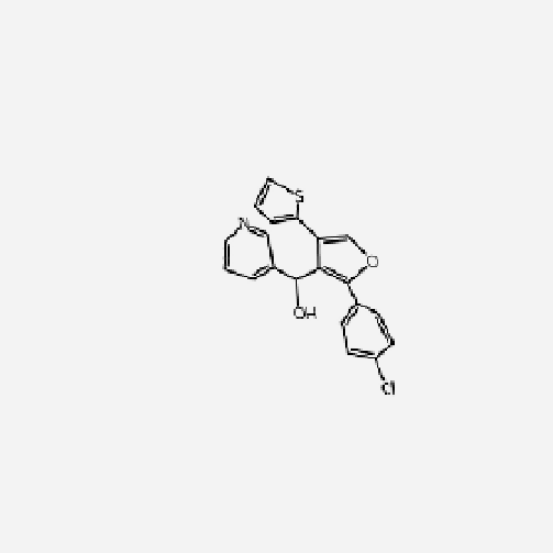 OC(c1cccnc1)c1c(-c2cccs2)coc1-c1ccc(Cl)cc1